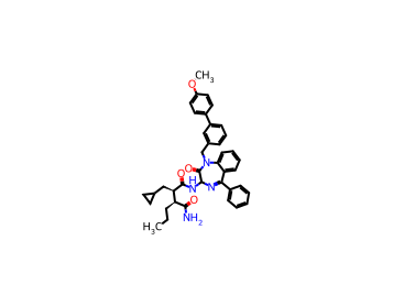 CCC[C@H](C(N)=O)[C@@H](CC1CC1)C(=O)NC1N=C(c2ccccc2)c2ccccc2N(Cc2cccc(-c3ccc(OC)cc3)c2)C1=O